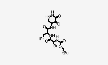 CCC(C)C(NC(=O)OCC(C)(C)C)C(=O)NC(CC(C)C)C(=O)NC1CNNC(=O)C1=O